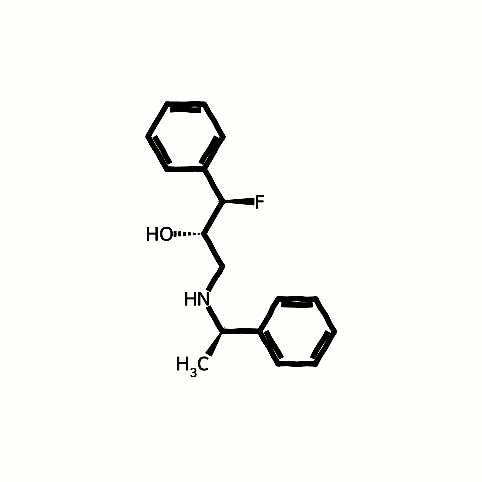 C[C@@H](NC[C@H](O)[C@H](F)c1ccccc1)c1ccccc1